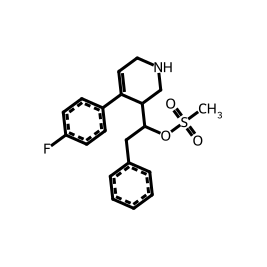 CS(=O)(=O)OC(Cc1ccccc1)C1CNCC=C1c1ccc(F)cc1